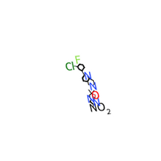 CC1(CN2CCc3nc(-c4ccc(F)c(Cl)c4)ccc3C2)Cn2cc([N+](=O)[O-])nc2O1